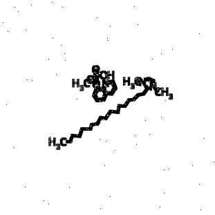 CCCCCCCCCCCCCCCCCCC1N(C)C=CN1C.COS(=O)(=O)O.c1ccc2ncccc2c1